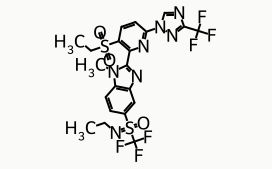 CCN=S(=O)(c1ccc2c(c1)nc(-c1nc(-n3cnc(C(F)(F)F)n3)ccc1S(=O)(=O)CC)n2C)C(F)(F)F